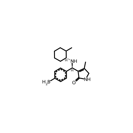 Bc1ccc([C@@H](N[C@@H]2CCCCC2C)C2=C(C)CNC2=O)cc1